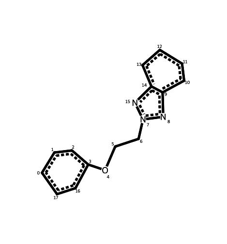 c1ccc(OCCn2nc3ccccc3n2)cc1